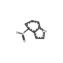 O=[N+]([O-])c1cccc2[te]ccc12